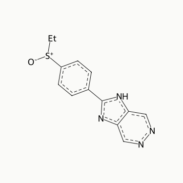 CC[S+]([O-])c1ccc(-c2nc3cnncc3[nH]2)cc1